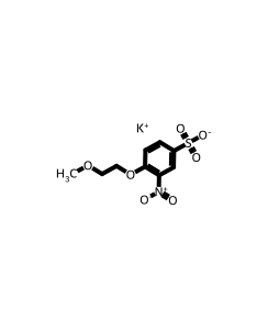 COCCOc1ccc(S(=O)(=O)[O-])cc1[N+](=O)[O-].[K+]